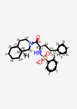 Cc1ccccc1S(=O)(=O)N[C@H](CCc1ccccc1)C(=O)N1CCC2CCCC[C@@H]2C1